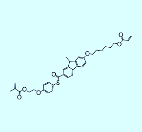 C=CC(=O)OCCCCCCOc1ccc2c(c1)C(C)c1cc(C(=O)Sc3ccc(OCCOC(=O)C(=C)C)cc3)ccc1-2